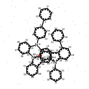 c1ccc(-c2ccc(N(c3ccc4c(c3)c3c(-c5ccccc5)cccc3n4-c3ccccc3)c3ccccc3-n3c4ccccc4c4ccccc43)cc2)cc1